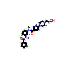 O=C(Nc1ccc(Cl)c(NC(=O)c2cccc(Cl)c2)c1)c1ccc(N2CCN(CCO)CC2)nc1